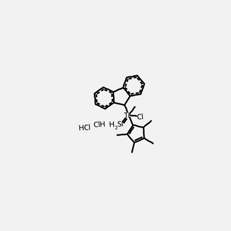 CC1=C(C)C(C)[C]([Ti]([CH3])(=[SiH2])([Cl])[CH]2c3ccccc3-c3ccccc32)=C1C.Cl.Cl